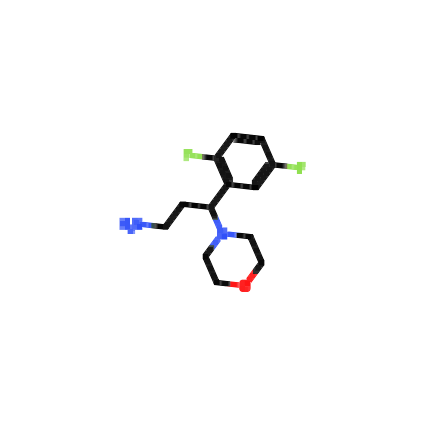 NCCC(c1cc(F)ccc1F)N1CCOCC1